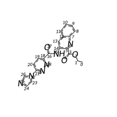 CCOC(=O)c1nc2ccccc2cc1NC(=O)c1ccc(-n2ccnc2)nn1